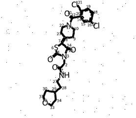 O=C(CN1C(=O)SC(=C2CCN(C(=O)c3cc(Cl)ccc3Cl)CC2)C1=O)NCCC1CCOCC1